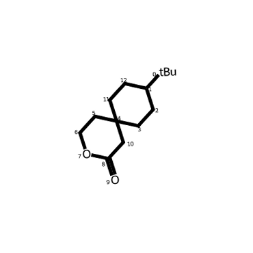 CC(C)(C)C1CCC2(CCOC(=O)C2)CC1